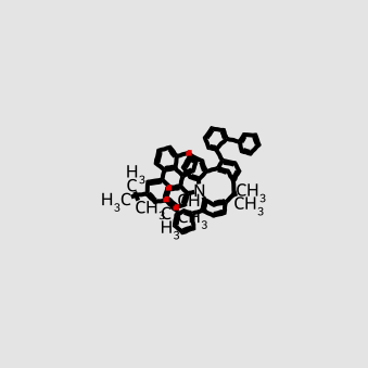 CC(C)(C)c1cc(-c2cccc3cccc(-c4ccccc4N4c5cc(ccc5-c5ccccc5)C(C)(C)c5ccc(-c6ccccc6-c6ccccc6)c(c5)-c5ccccc54)c23)cc(C(C)(C)C)c1